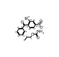 CCCOC(N)=O.O=C(c1ccccc1)c1ccc([N+](=O)[O-])cc1Br